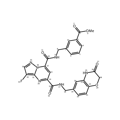 COC(=O)c1cccc(CNC(=O)c2cc(C(=O)NCc3ccc4c(c3)NC(=O)CO4)nc3c(F)cnn23)c1